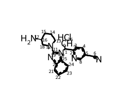 C[C@@H](c1ccc(C#N)cn1)n1c(N2CCC[C@H](N)C2)nc2ccccc21.Cl